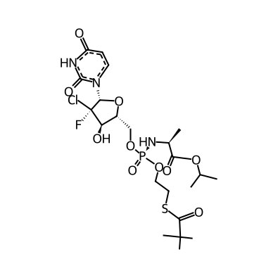 CC(C)OC(=O)[C@H](C)N[P@](=O)(OCCSC(=O)C(C)(C)C)OC[C@H]1O[C@@H](n2ccc(=O)[nH]c2=O)[C@](F)(Cl)[C@@H]1O